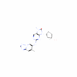 Cc1cc2ncnn2cc1Nc1ncc2c(n1)n([C@@H]1CC[C@@H](O)C1)c(=O)n2C